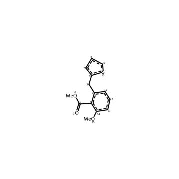 COC(=O)c1c(Cc2cccs2)cccc1OC